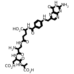 CC(NC(=O)C(CC(=O)O)NC(=O)C(N)CNC(=O)CCC(NC(=O)c1ccc(NCc2cnc3nc(N)[nH]c(=O)c3n2)cc1)C(=O)O)C(=O)O